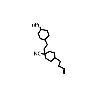 C=CCCC1CCC(C#N)(CCC2CCC(CCC)CC2)CC1